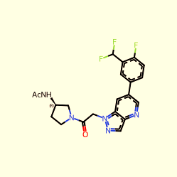 CC(=O)N[C@@H]1CCN(C(=O)Cn2ncc3ncc(-c4ccc(F)c(C(F)F)c4)cc32)C1